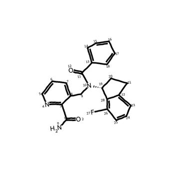 NC(=O)c1ncccc1CN(C(=O)c1ccccc1)[C@@H]1CCc2cccc(F)c21